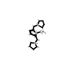 Cn1c(CN2CCCC2)ccc1CN1CCCC1